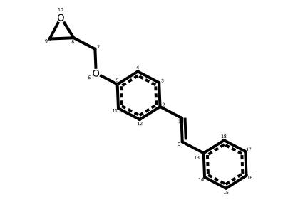 C(=Cc1ccc(OCC2CO2)cc1)c1ccccc1